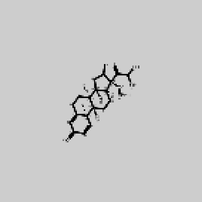 CCCCCO[C@]1(C(=O)C(O)O)C(C)C[C@H]2[C@@H]3CCC4=CC(=O)C=C[C@]4(C)[C@H]3CC[C@@]21C